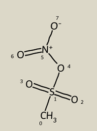 CS(=O)(=O)O[N+](=O)[O-]